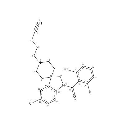 C#CCCCN1CCC2(CC1)CN(C(=O)c1c(F)cccc1F)c1ccc(Cl)cc12